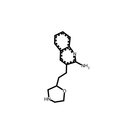 Nc1nc2ccccc2cc1CCC1CNCCO1